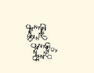 [Dy].c1ccc2c(c1)-c1nc-2nc2[nH]c(nc3nc(nc4[nH]c(n1)c1ccccc41)-c1ccccc1-3)c1ccccc21.c1ccc2c(c1)-c1nc-2nc2[nH]c(nc3nc(nc4[nH]c(n1)c1ccccc41)-c1ccccc1-3)c1ccccc21